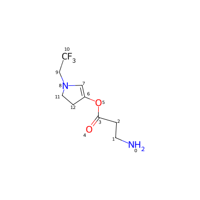 NCCC(=O)OC1=CN(CC(F)(F)F)CC1